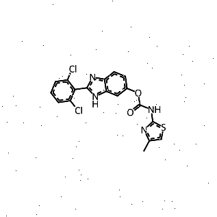 Cc1csc(NC(=O)Oc2ccc3nc(-c4c(Cl)cccc4Cl)[nH]c3c2)n1